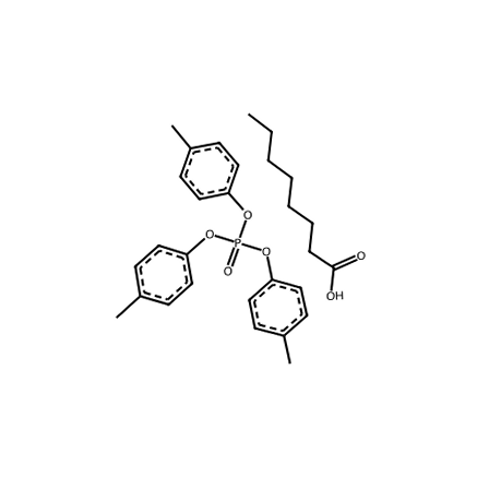 CCCCCCCC(=O)O.Cc1ccc(OP(=O)(Oc2ccc(C)cc2)Oc2ccc(C)cc2)cc1